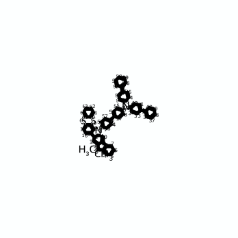 CC1(C)c2ccccc2-c2cc3c(cc21)c1ccc2c(c1n3-c1ccc(-c3ccc(N(c4ccc(-c5ccccc5)cc4)c4ccc(-c5ccccc5)cc4)cc3)cc1)Sc1ccccc1S2